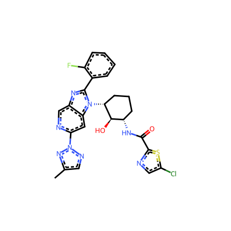 Cc1cnn(-c2cc3c(cn2)nc(-c2ccccc2F)n3[C@@H]2CCC[C@H](NC(=O)c3ncc(Cl)s3)[C@H]2O)n1